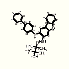 CC(C)(O)C(C)(C)OBc1cc2oc3ccccc3c2cc1Nc1ccc(-c2ccccc2)cc1